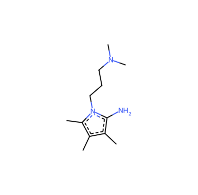 Cc1c(C)c(N)n(CCCN(C)C)c1C